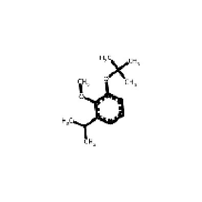 COc1c(OC(C)(C)C)cccc1[C](C)C